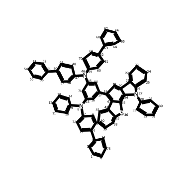 c1ccc(-c2ccc(N(c3ccccc3)c3cc(-c4cc5c6ccccc6n(-c6ccccc6)c5c5sc6ccccc6c45)cc(N(c4ccc(-c5ccccc5)cc4)c4ccc(-c5ccccc5)cc4)c3)cc2)cc1